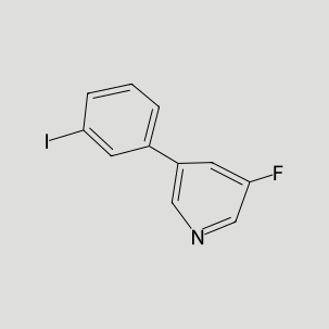 Fc1cncc(-c2cccc(I)c2)c1